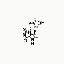 O=c1[nH]c(=S)n(CC(F)C(CO)C(F)F)c2cc[nH]c12